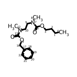 CCCCOC(=O)N(C)CCN(C)C(=O)OCc1ccccc1